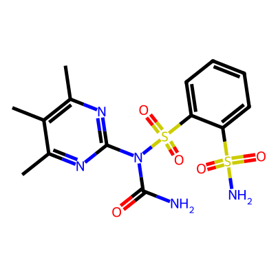 Cc1nc(N(C(N)=O)S(=O)(=O)c2ccccc2S(N)(=O)=O)nc(C)c1C